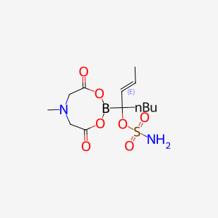 C/C=C/C(CCCC)(OS(N)(=O)=O)B1OC(=O)CN(C)CC(=O)O1